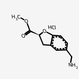 COC(=O)[C@@H]1Cc2cc(CN)ccc2O1.Cl